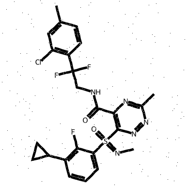 CN=S(=O)(c1cccc(C2CC2)c1F)c1nnc(C)nc1C(=O)NCC(F)(F)c1ccc(C)cc1Cl